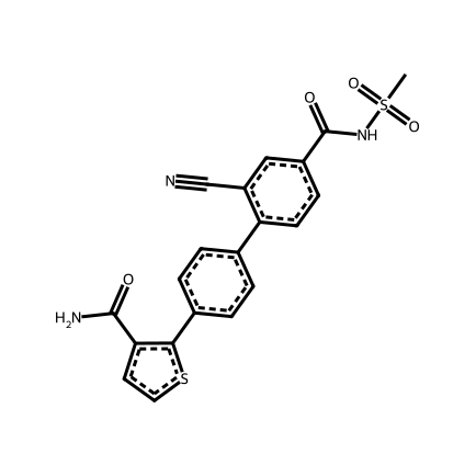 CS(=O)(=O)NC(=O)c1ccc(-c2ccc(-c3sccc3C(N)=O)cc2)c(C#N)c1